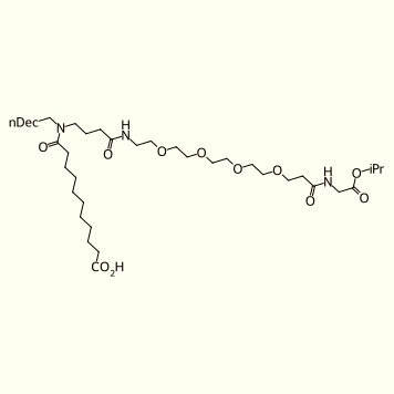 CCCCCCCCCCCN(CCCC(=O)NCCOCCOCCOCCOCCC(=O)NCC(=O)OC(C)C)C(=O)CCCCCCCCCC(=O)O